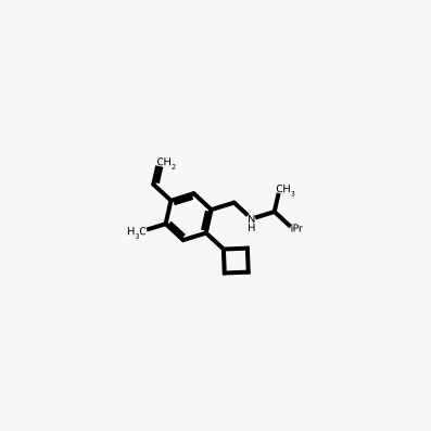 C=Cc1cc(CNC(C)C(C)C)c(C2CCC2)cc1C